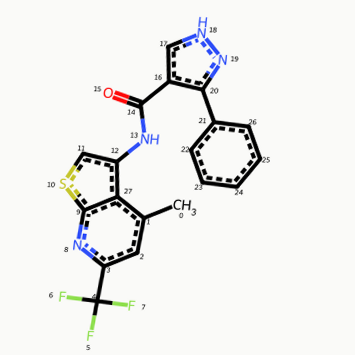 Cc1cc(C(F)(F)F)nc2scc(NC(=O)c3c[nH]nc3-c3ccccc3)c12